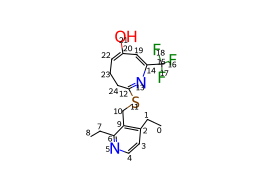 CCc1ccnc(CC)c1CS/C1=N/C(C(F)(F)F)=C\C(O)=C/CC1